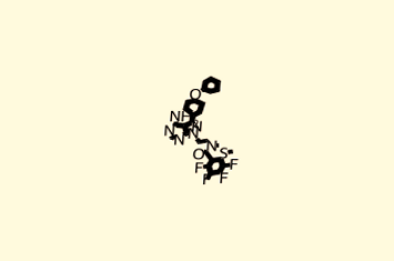 CSc1c(F)c(F)c(F)c(F)c1C(=O)N(C)CCn1nc(-c2ccc(Oc3ccccc3)cc2)c2c(N)ncnc21